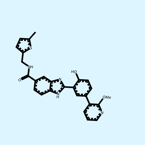 COc1ncccc1-c1ccc(O)c(-c2nc3cc(C(=O)NCc4ccc(C)s4)ccc3[nH]2)c1